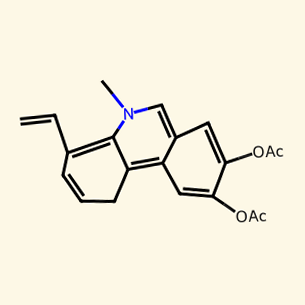 C=CC1=C2C(=c3cc(OC(C)=O)c(OC(C)=O)cc3=CN2C)CC=C1